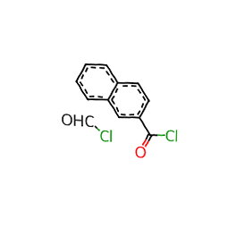 O=C(Cl)c1ccc2ccccc2c1.O=CCl